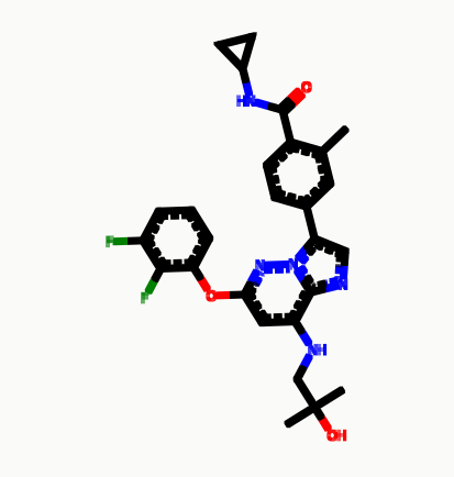 Cc1cc(-c2cnc3c(NCC(C)(C)O)cc(Oc4cccc(F)c4F)nn23)ccc1C(=O)NC1CC1